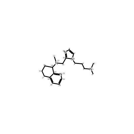 CN(C)CCCn1ccnc1CN(C)C1CCCc2cccnc21